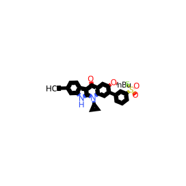 C#Cc1ccc2c(c1)[nH]c1c2c(=O)c2cc(OCCCC)c(-c3cccc(S(=O)(=O)F)c3)cc2n1C1CC1